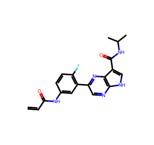 C=CC(=O)Nc1ccc(F)c(-c2cnc3[nH]cc(C(=O)NC(C)C)c3n2)c1